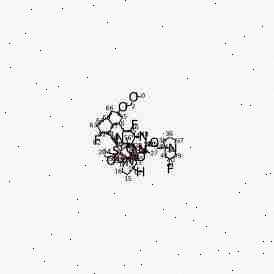 COCOc1cc(-c2ncc3c(N4C[C@@H]5CC[C@](COC)(C4)N5C(=O)OC(C)(C)C)nc(OC[C@@]45CCCN4C[C@H](F)C5)nc3c2F)c2c(C#C[Si](C(C)C)(C(C)C)C(C)C)c(F)ccc2c1